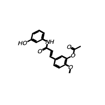 COc1ccc(/C=C/C(=O)Nc2cccc(O)c2)cc1OC(C)=O